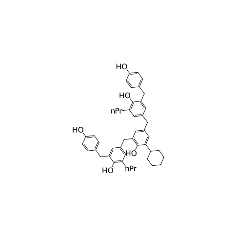 CCCc1cc(Cc2cc(Cc3cc(CCC)c(O)c(Cc4ccc(O)cc4)c3)c(O)c(C3CCCCC3)c2)cc(Cc2ccc(O)cc2)c1O